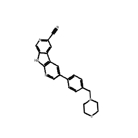 N#Cc1cc2c(cn1)[nH]c1ncc(-c3ccc(CN4CCSCC4)cc3)cc12